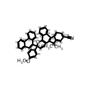 COc1ccc(C2(c3cc4ccccc4c4ccccc34)C=Cc3c4c(c5ccccc5c3O2)-c2ccc(C#N)cc2C4(C)C)cc1